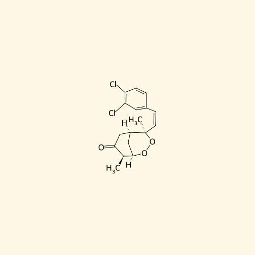 C[C@H]1C(=O)C[C@@H]2C[C@H]1OO[C@]2(C)/C=C\c1ccc(Cl)c(Cl)c1